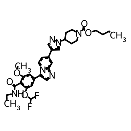 CCCCOC(=O)N1CCC(n2cc(-c3ccn4c(-c5cc(OC)c(C(=O)NCC)c(OC(F)F)c5)cnc4c3)cn2)CC1